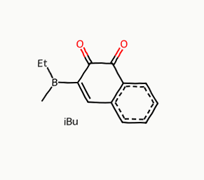 CCB(C)C1=C([C@H](C)CC)c2ccccc2C(=O)C1=O